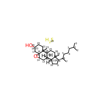 CC(C)CCCC(C)[C@H]1CC[C@H]2[C@@H]3CC4OC45C[C@@H](O)CC[C@]5(C)[C@H]3CC[C@]12C.S